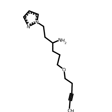 CC#CCCOCCCC(N)CCn1cccn1